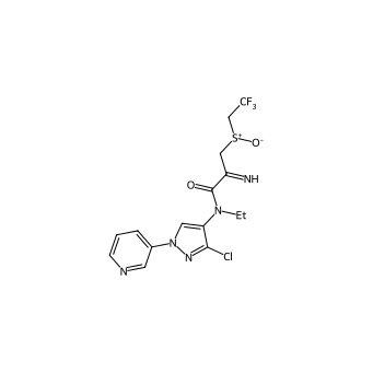 CCN(C(=O)C(=N)C[S+]([O-])CC(F)(F)F)c1cn(-c2cccnc2)nc1Cl